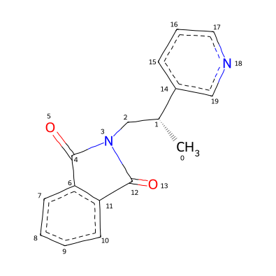 C[C@H](CN1C(=O)c2ccccc2C1=O)c1cccnc1